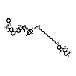 Cc1c(Nc2nc3ccccc3s2)nnc2c1CCCN2c1ccc(-c2cnn(CC34CC5(C)CC(C)(C3)CC(OCCN(C)CCCCCCCCCCCCCOc3ccc6c(c3)C(=O)N(C3CCC(=O)NC3=O)C6=O)(C5)C4)c2C)c(C(=O)O)n1